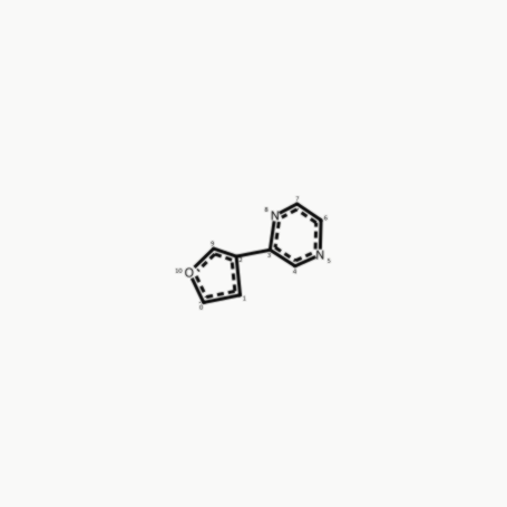 [c]1cc(-c2cnccn2)co1